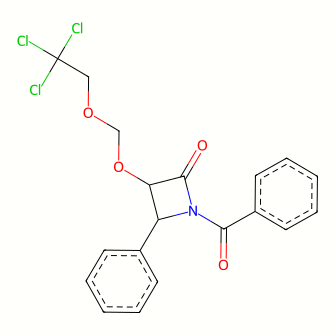 O=C(c1ccccc1)N1C(=O)C(OCOCC(Cl)(Cl)Cl)C1c1ccccc1